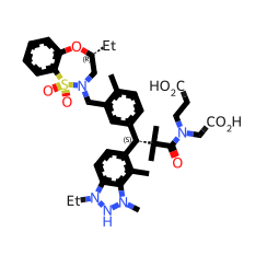 CC[C@@H]1CN(Cc2cc([C@@H](c3ccc4c(c3C)N(C)NN4CC)C(C)(C)C(=O)N(CCC(=O)O)CC(=O)O)ccc2C)S(=O)(=O)c2ccccc2O1